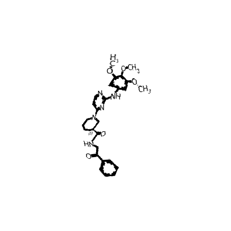 COc1cc(Nc2nccc(N3CCC[C@H](C(=O)NCC(=O)c4ccccc4)C3)n2)cc(OC)c1OC